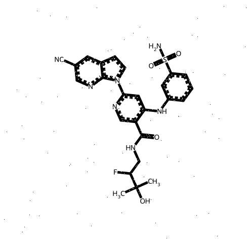 CC(C)(O)C(F)CNC(=O)c1cnc(-n2ccc3cc(C#N)cnc32)cc1Nc1cccc(S(N)(=O)=O)c1